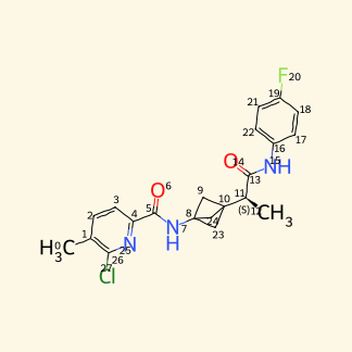 Cc1ccc(C(=O)NC23CC([C@H](C)C(=O)Nc4ccc(F)cc4)(C2)C3)nc1Cl